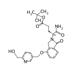 CC(C)(C)OC(=O)CC[C@@H](C(N)=O)N1Cc2c(OCc3ccc(CO)nc3)cccc2C1=O